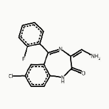 NC=C1N=C(c2ccccc2F)c2cc(Cl)ccc2NC1=O